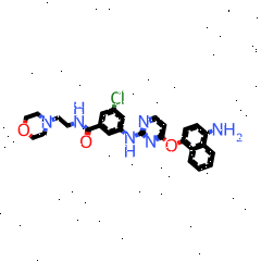 Nc1ccc(Oc2ccnc(Nc3cc(Cl)cc(C(=O)NCCN4CCOCC4)c3)n2)c2ccccc12